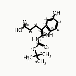 CC(C)(C)OC(=O)Nc1[nH]c2ccc(O)cc2c1CCC(=O)O